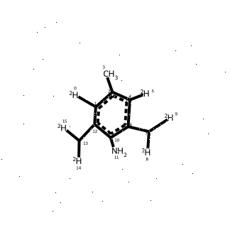 [2H]c1c(C)c([2H])c(C([2H])[2H])c(N)c1C([2H])[2H]